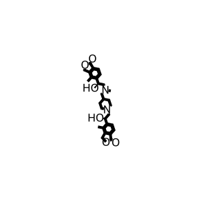 Cc1c([C@H](O)CN(C)CC2CCN(C[C@H](O)c3ccc4c(c3C)COC4=O)CC2)ccc2c1COC2=O